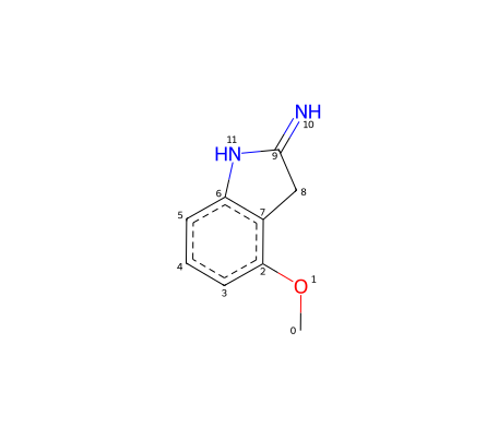 COc1cccc2c1CC(=N)N2